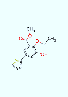 CCOc1c(O)cc(-c2cccs2)cc1C(=O)OC